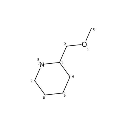 COCC1C[CH]CC[N]1